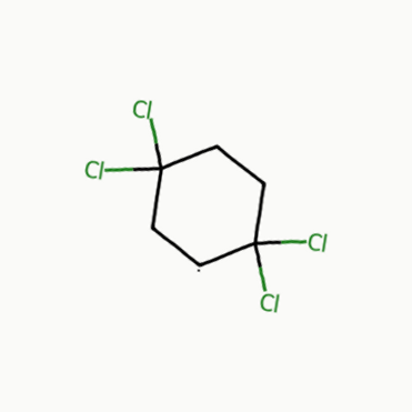 ClC1(Cl)[CH]CC(Cl)(Cl)CC1